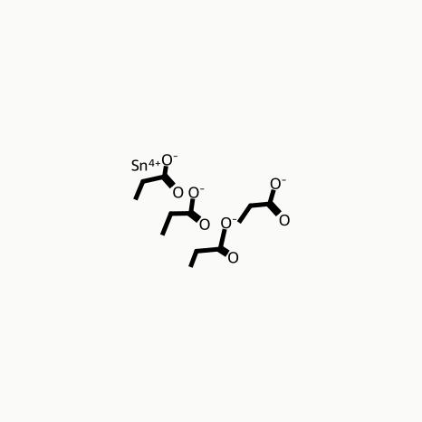 CCC(=O)[O-].CCC(=O)[O-].CCC(=O)[O-].CCC(=O)[O-].[Sn+4]